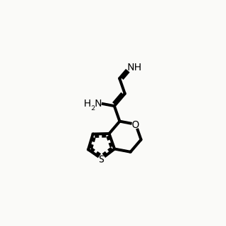 N=C/C=C(\N)C1OCCc2sccc21